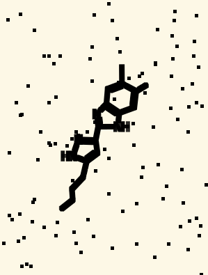 CCCCc1cc(-c2nc3cc(C)c(C)cc3[nH]2)n[nH]1